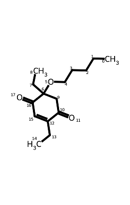 CCCCCOC1(CC)CC(=O)C(CC)=CC1=O